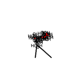 CCCCCCCCCCCCC/C=C/[C@@H](O)[C@H](CO[C@@H]1OC(CO)[C@@H](O[C@@H]2OC(CO[C@@H]3OC(CO)[C@@H](O[C@@H]4OC(CO)[C@H](O[C@@H]5OC(CO)[C@H](O)[C@H](O)C5NC(C)=O)[C@H](O[C@]5(C(=O)O)CC(O)[C@@H](NC(C)=O)C([C@H](O)[C@H](O)CO)O5)C4O)[C@H](O)C3NC(C)=O)[C@H](O)[C@H](O[C@H]3OC(CO)[C@H](O)[C@H](O)C3O)C2O)[C@H](O)C1O)NC(=O)CCCCCCCCCCCCCCCCCCCCC